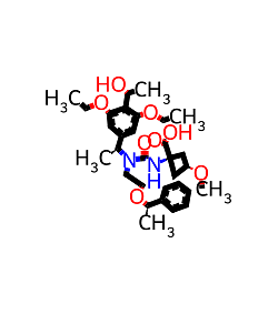 CCOc1cc([C@@H](C)N(CCO[C@@H](C)c2ccccc2)C(=O)N[C@]2(C(=O)O)C[C@@H](OC)C2)cc(OCC)c1C(C)O